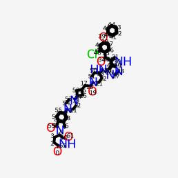 O=C1CC[C@H](N2Cc3cc(N4CCN(C5CC(CC(=O)N6CCC(Nc7ncnc8[nH]cc(C(=O)c9ccc(Oc%10ccccc%10)cc9Cl)c78)CC6)C5)CC4)ccc3C2=O)C(=O)N1